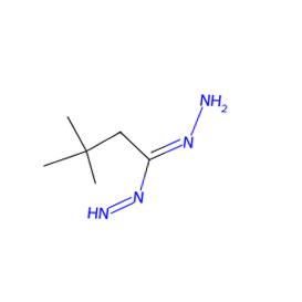 CC(C)(C)C/C(N=N)=N\N